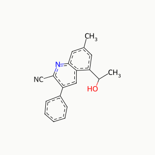 Cc1cc(C(C)O)c2cc(-c3ccccc3)c(C#N)nc2c1